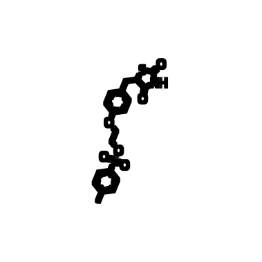 Cc1ccc(S(=O)(=O)OCCOc2ccc(CC3SC(=O)NC3=O)cc2)cc1